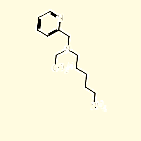 NCCCCCN(CC(=O)O)Cc1ccccn1